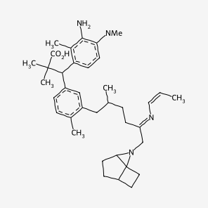 C/C=C\N=C(/CCC(C)Cc1cc(C(c2ccc(NC)c(N)c2C)C(C)(C)C(=O)O)ccc1C)CN1C2CCC3CCC321